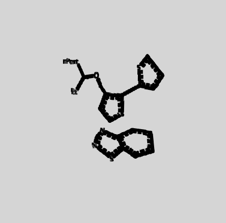 CCCCCC(CC)Oc1ccsc1-c1cccs1.c1ccc2snnc2c1